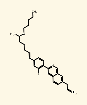 C=CCc1ccc2cc(-c3ccc(C=CCCCC(C)OCCCCC)cc3F)ncc2c1